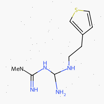 CNC(=N)NC(N)NCCc1ccsc1